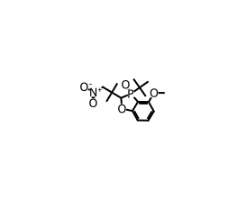 COc1cccc2c1P(=O)(C(C)(C)C)C(C(C)(C)C[N+](=O)[O-])O2